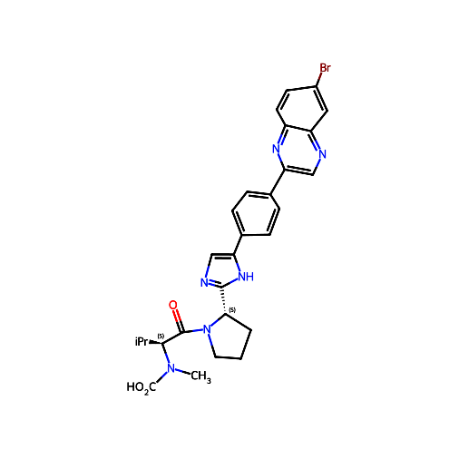 CC(C)[C@@H](C(=O)N1CCC[C@H]1c1ncc(-c2ccc(-c3cnc4cc(Br)ccc4n3)cc2)[nH]1)N(C)C(=O)O